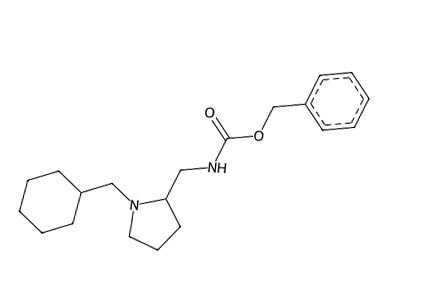 O=C(NCC1CCCN1CC1CCCCC1)OCc1ccccc1